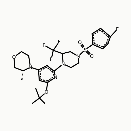 C[C@@H]1COCCN1c1cc(OC(C)(C)C)nc(N2CCN(S(=O)(=O)c3ccc(F)cc3)CC2C(F)(F)F)c1